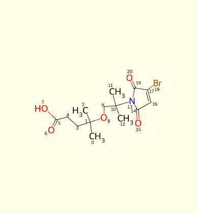 CC(C)(CCC(=O)O)OCC(C)(C)N1C(=O)C=C(Br)C1=O